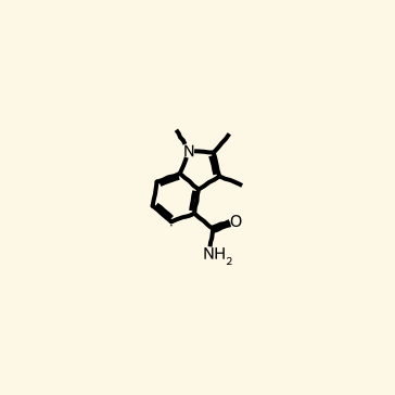 Cc1c(C)n(C)c2cc[c]c(C(N)=O)c12